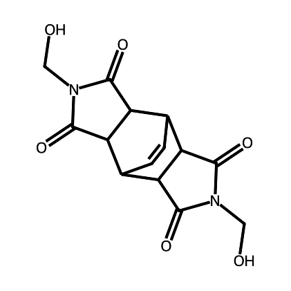 O=C1C2C3C=CC(C2C(=O)N1CO)C1C(=O)N(CO)C(=O)C31